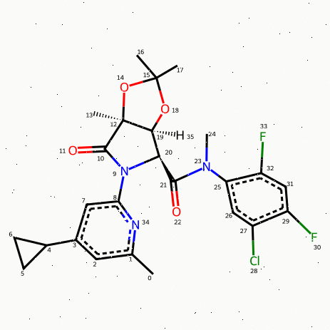 Cc1cc(C2CC2)cc(N2C(=O)[C@@]3(C)OC(C)(C)O[C@H]3[C@H]2C(=O)N(C)c2cc(Cl)c(F)cc2F)n1